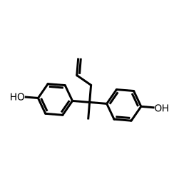 C=CCC(C)(c1ccc(O)cc1)c1ccc(O)cc1